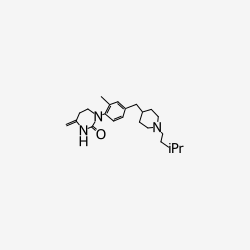 C=C1CCN(c2ccc(CC3CCN(CCC(C)C)CC3)cc2C)C(=O)N1